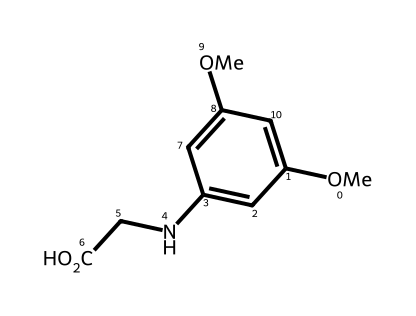 COc1cc(NCC(=O)O)cc(OC)c1